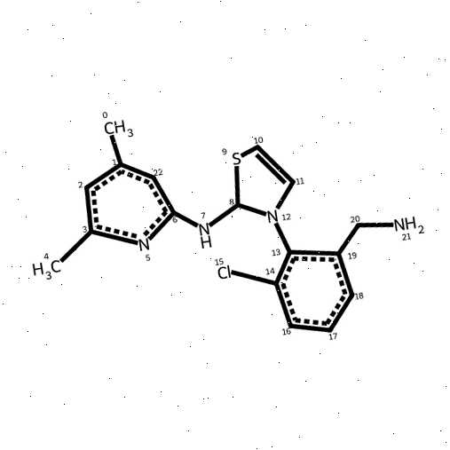 Cc1cc(C)nc(NC2SC=CN2c2c(Cl)cccc2CN)c1